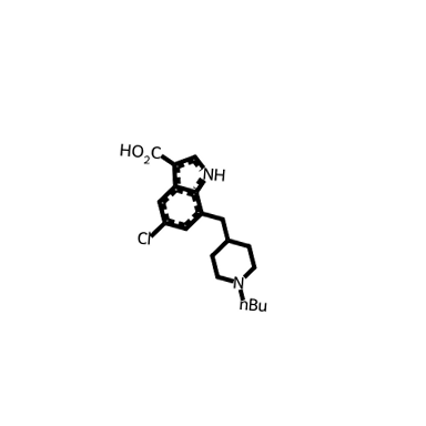 CCCCN1CCC(Cc2cc(Cl)cc3c(C(=O)O)c[nH]c23)CC1